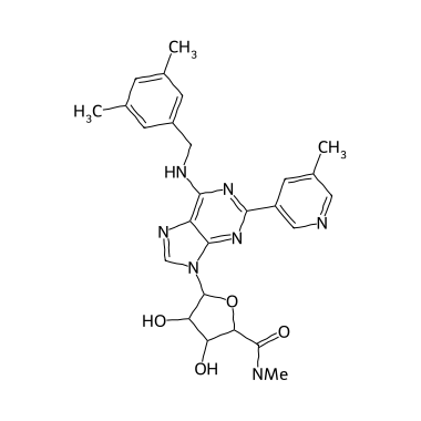 CNC(=O)C1OC(n2cnc3c(NCc4cc(C)cc(C)c4)nc(-c4cncc(C)c4)nc32)C(O)C1O